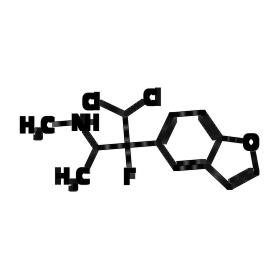 CNC(C)C(F)(c1ccc2occc2c1)C(Cl)Cl